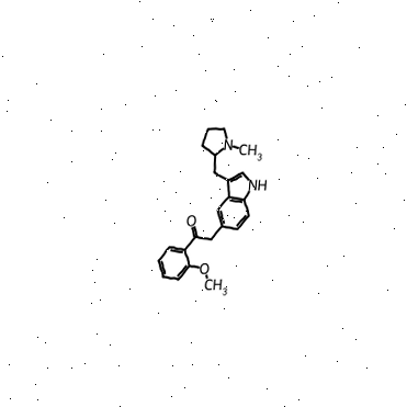 COc1ccccc1C(=O)Cc1ccc2[nH]cc(CC3CCCN3C)c2c1